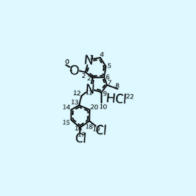 COc1nccc2c(C)c(C)n(Cc3ccc(Cl)c(Cl)c3)c12.Cl